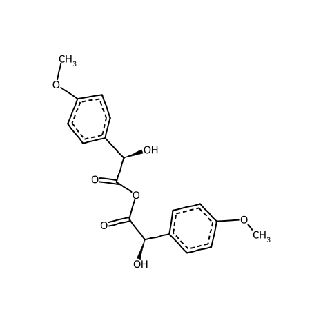 COc1ccc([C@@H](O)C(=O)OC(=O)[C@H](O)c2ccc(OC)cc2)cc1